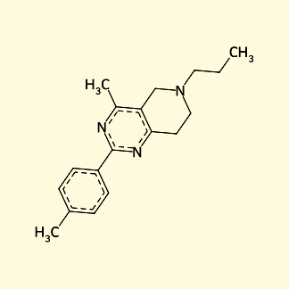 CCCN1CCc2nc(-c3ccc(C)cc3)nc(C)c2C1